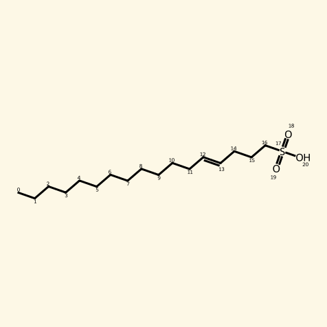 CCCCCCCCCCCC/C=C/CCCS(=O)(=O)O